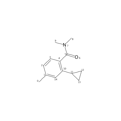 Cc1ccc(C(=O)N(C)C)c(C2CC2)c1